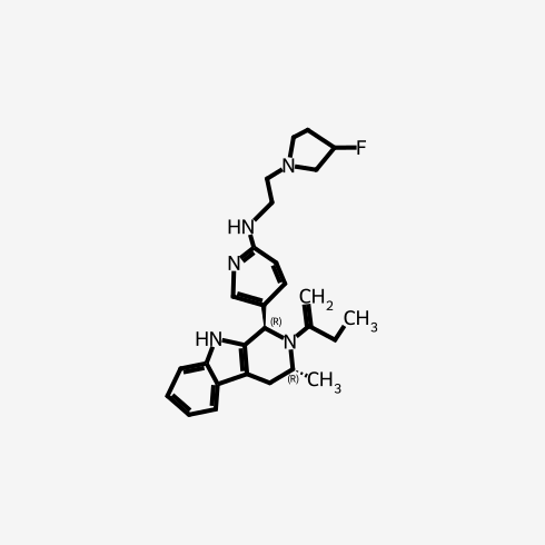 C=C(CC)N1[C@H](c2ccc(NCCN3CCC(F)C3)nc2)c2[nH]c3ccccc3c2C[C@H]1C